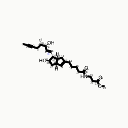 CC#CC[C@H](C)[C@H](O)/C=C/[C@@H]1[C@H]2CC(CCCCC(=O)NCCC(=O)OC)=C[C@H]2C[C@H]1O